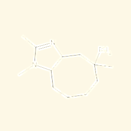 BC1(C)CCCCC2C(C1)N=C(C)N2C